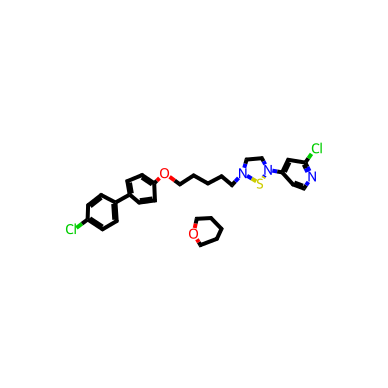 C1CCOCC1.Clc1ccc(-c2ccc(OCCCCCN3CCN(c4ccnc(Cl)c4)S3)cc2)cc1